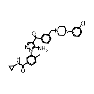 Cc1ccc(C(=O)NC2CC2)cc1-n1ncc(C(=O)c2cccc(CN3CCN(c4cccc(Cl)c4)CC3)c2)c1N